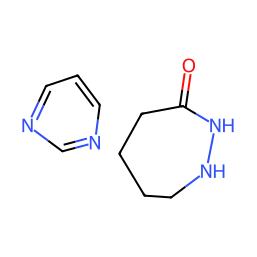 O=C1CCCCNN1.c1cncnc1